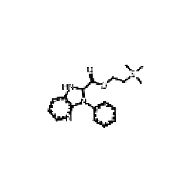 C[Si](C)(C)CCOC(=O)C1Nc2cccnc2N1c1cc[c]cc1